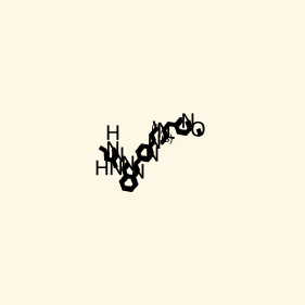 COc1ccc(CN2[C@H](C)CN(c3ccc(-c4nc(Nc5cc(C)[nH]n5)c5ccccc5n4)cn3)C[C@@H]2C)cn1